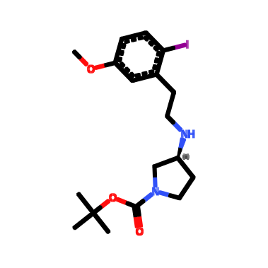 COc1ccc(I)c(CCN[C@H]2CCN(C(=O)OC(C)(C)C)C2)c1